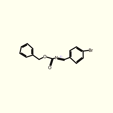 O=C(/N=C/c1ccc(Br)cc1)OCc1ccccc1